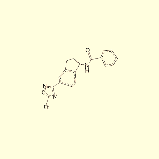 CCc1nc(-c2ccc3c(c2)CCC3NC(=O)c2ccccc2)no1